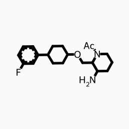 CC(=O)N1CCCC(N)C1COC1CCC(c2cccc(F)c2)CC1